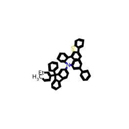 C/C=C\C(=C/CC)C1(c2ccccc2)c2ccccc2-c2ccc(N(c3cccc(-c4ccccc4)c3)c3ccccc3-c3cccc4c3sc3ccccc34)cc21